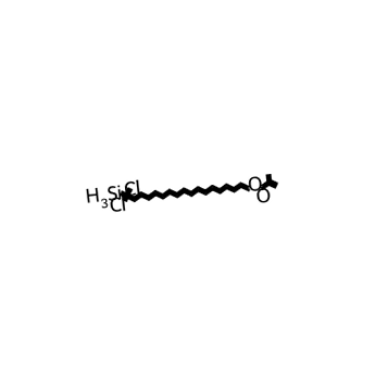 C=C(C)C(=O)OCCCCCCCCCCCCCCCCCC([SiH3])(Cl)Cl